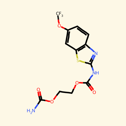 NC(=O)OCCOC(=O)Nc1nc2ccc(OC(F)(F)F)cc2s1